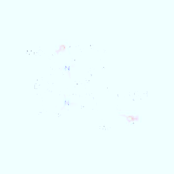 CC(=O)c1cccc(C(=O)O)c1O.CC[C@@]12C=C(C(=O)OC)n3c4c(c5ccccc53)CCN(CCC1)[C@H]42